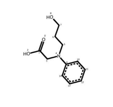 O=C(O)CN(CCCO)c1ccccc1